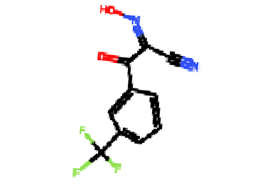 N#C/C(=N/O)C(=O)c1cccc(C(F)(F)F)c1